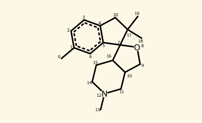 Cc1ccc2c(c1)C1(OCC3CN(C)CCC31)C(C)(C)C2